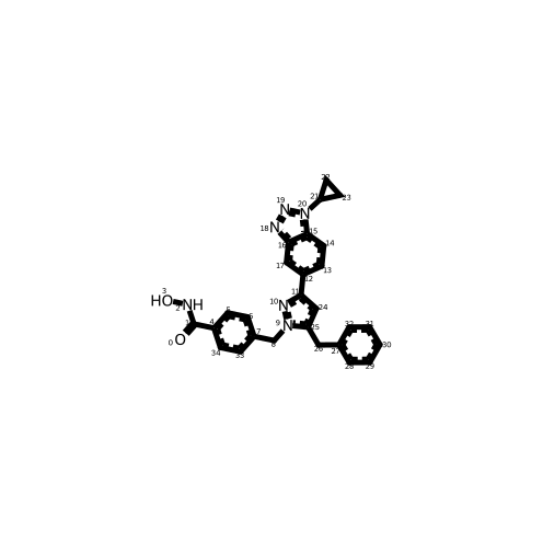 O=C(NO)c1ccc(Cn2nc(-c3ccc4c(c3)nnn4C3CC3)cc2Cc2ccccc2)cc1